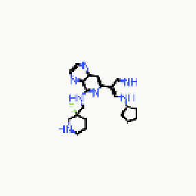 N=C/C(=C\NC1CCCC1)c1cc2nccnc2c(NCC2(F)CCCNC2)n1